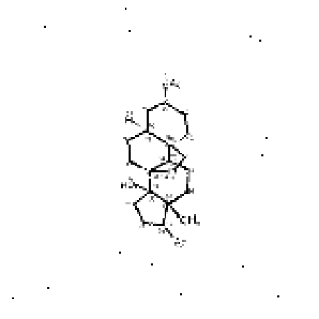 CC(=O)O[C@H]1CC[C@@]23CO[C@@]4(CC[C@H]2C1)[C@@H]3CC[C@]1(C)[C@@H](C(C)=O)CC[C@]41O